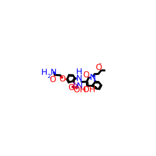 COC(C)CCn1c(=O)c(C2=NP(=O)(O)c3cc(OCC(N)=O)ccc3N2)c(O)c2ccccc21